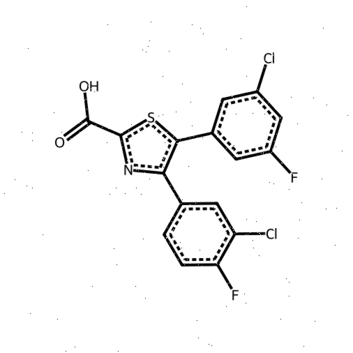 O=C(O)c1nc(-c2ccc(F)c(Cl)c2)c(-c2cc(F)cc(Cl)c2)s1